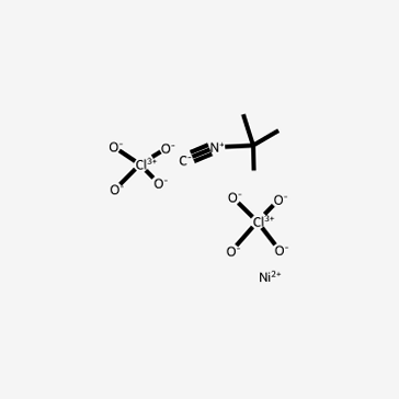 [C-]#[N+]C(C)(C)C.[Ni+2].[O-][Cl+3]([O-])([O-])[O-].[O-][Cl+3]([O-])([O-])[O-]